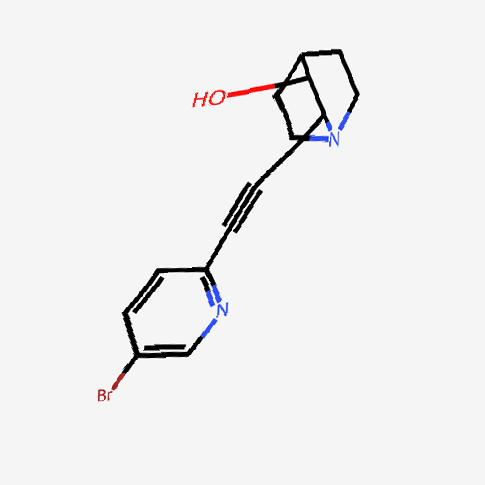 OC1C2CCN(CC2)C1C#Cc1ccc(Br)cn1